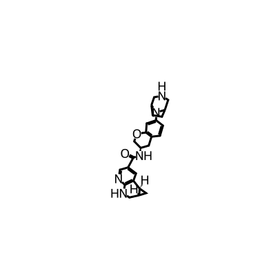 O=C(N[C@H]1COc2cc(N3C4CCC3CNC4)ccc2C1)c1cnc2c(c1)[C@H]1C[C@H]1CN2